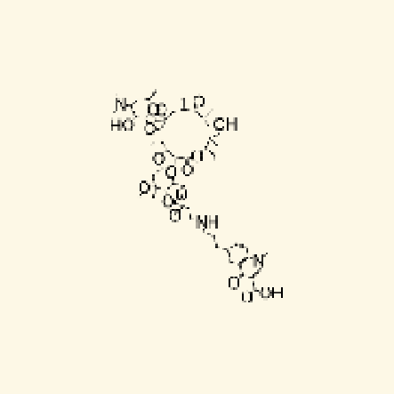 CC[C@H]1OC(=O)[C@H](C)[C@@H](O[C@H]2C[C@@](C)(OC)[C@@H](OS(=O)(=O)CCNCCCc3ccc4c(c3)c(=O)c(C(=O)O)cn4C)[C@H](C)O2)[C@H](C)[C@@H](O[C@@H]2O[C@H](C)C[C@H](N(C)C)[C@H]2O)[C@](C)(OC)C[C@@H](C)C(=O)[C@H](C)[C@@H](O)C1(C)C